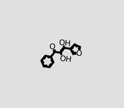 O=C(C(O)=C(O)c1ccoc1)c1ccccc1